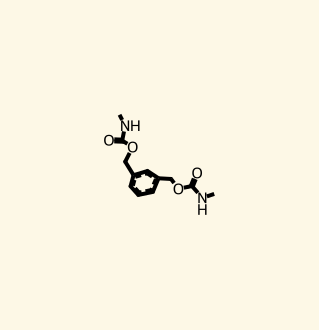 CNC(=O)OCc1cccc(COC(=O)NC)c1